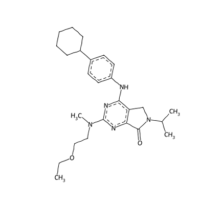 CCOCCN(C)c1nc(Nc2ccc(C3CCCCC3)cc2)c2c(n1)C(=O)N(C(C)C)C2